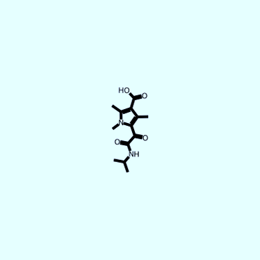 Cc1c(C(=O)O)c(C)n(C)c1C(=O)C(=O)NC(C)C